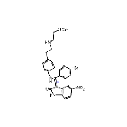 Br.COCCNCCc1ccc(N/C(=C2\C(=O)Nc3ccc([N+](=O)[O-])cc32)c2ccccc2)cc1